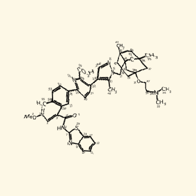 CON/C=C(/C(=O)Nc1nc2ccccc2s1)c1cc(-c2ccc(-c3cnn(CC45CC6(OCCN(C)C)CC7(C)CC(C)(C4)C5(C7)C6)c3C)c(C(=O)O)n2)ccc1C